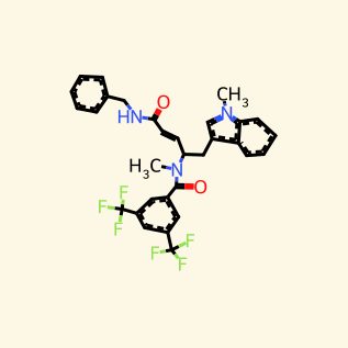 CN(C(=O)c1cc(C(F)(F)F)cc(C(F)(F)F)c1)C(C=CC(=O)NCc1ccccc1)Cc1cn(C)c2ccccc12